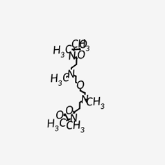 CN(CCOCCN(C)CCC1=NC(C)(C)C(=O)O1)CCC1=NC(C)(C)C(=O)O1